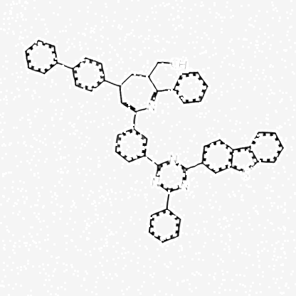 CCC1CC(c2ccc(-c3ccccc3)cc2)C=C(c2cccc(-c3nc(-c4ccccc4)nc(-c4ccc5c(c4)sc4ccccc45)n3)c2)N=C1c1ccccc1